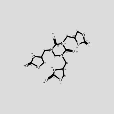 O=C1OCC(CN2CN(CC3COC(=O)O3)C(=O)N(CC3COC(=O)O3)C2=O)O1